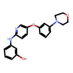 Oc1cccc(Nc2ccc(Oc3cccc(N4CCOCC4)c3)cn2)c1